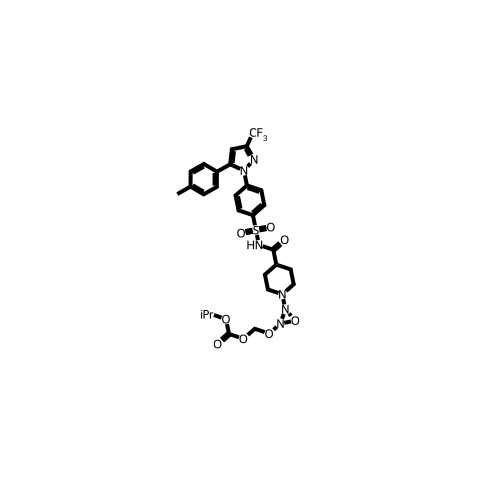 Cc1ccc(-c2cc(C(F)(F)F)nn2-c2ccc(S(=O)(=O)NC(=O)C3CCN(n4on4OCOC(=O)OC(C)C)CC3)cc2)cc1